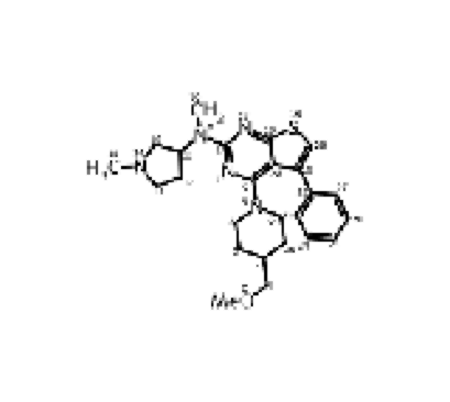 COCC1CCN(c2nc(N(C)C3CCN(C)C3)nc3scc(-c4ccccc4)c23)CC1